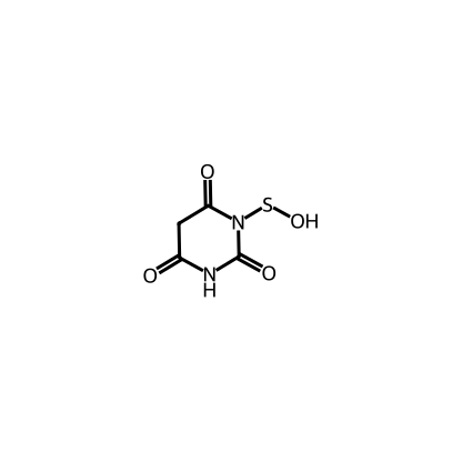 O=C1CC(=O)N(SO)C(=O)N1